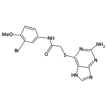 COc1ccc(NC(=O)CSc2nc(N)nc3nc[nH]c23)cc1Br